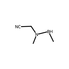 CBN(C)CC#N